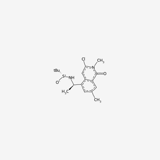 Cc1cc([C@@H](C)N[S@+]([O-])C(C)(C)C)c2cc(Cl)n(C)c(=O)c2c1